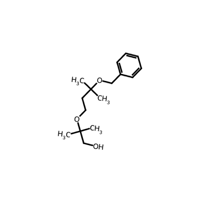 CC(C)(CO)OCCC(C)(C)OCc1ccccc1